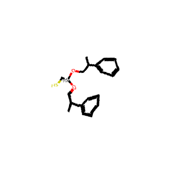 CC(CO[SiH](CS)OCC(C)c1ccccc1)c1ccccc1